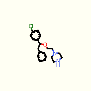 Clc1ccc(C(Cc2ccccc2)OCCN2CCNCC2)cc1